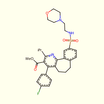 COC(=O)c1c(C(C)C)nc2c(c1-c1ccc(F)cc1)CCCc1ccc(S(=O)(=O)NCCN3CCOCC3)cc1-2